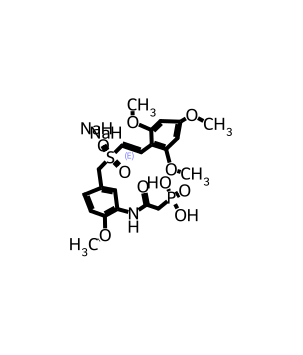 COc1cc(OC)c(/C=C/S(=O)(=O)Cc2ccc(OC)c(NC(=O)CP(=O)(O)O)c2)c(OC)c1.[NaH].[NaH]